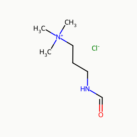 C[N+](C)(C)CCCNC=O.[Cl-]